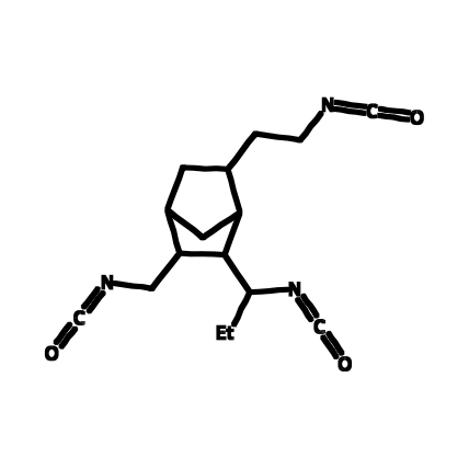 CCC(N=C=O)C1C(CN=C=O)C2CC(CCN=C=O)C1C2